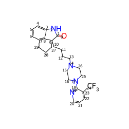 O=C1Nc2cccc3c2C1(CCCCN1CCN(c2ncccc2C(F)(F)F)CC1)CCC3